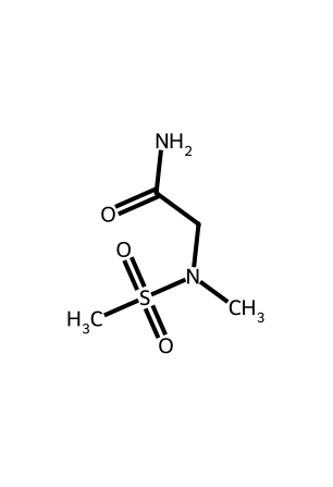 CN(CC(N)=O)S(C)(=O)=O